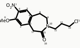 COc1cc2c(cc1[N+](=O)[O-])CCN(CCCCl)C(=O)C2